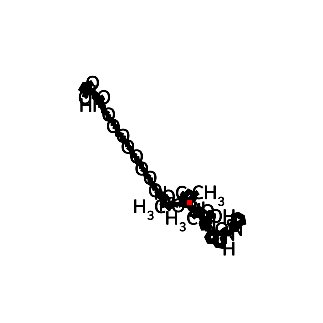 Cc1c(-c2ccc(-c3ccc4c(c3)N(C(=O)Nc3nc5ccccc5s3)CCC4)nc2C(=O)O)cnn1CC12CC3(C)CC(C)(C1)CC(OCCN(C)C(=O)CCOCCOCCOCCOCCOCCOCCOCCOCCNC(=O)CCN1C(=O)C=CC1=O)(C3)C2